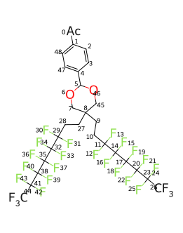 CC(=O)c1ccc(C2OCC(CCC(F)(F)C(F)(F)C(F)(F)C(F)(F)C(F)(F)C(F)(F)F)(CCC(F)(F)C(F)(F)C(F)(F)C(F)(F)C(F)(F)C(F)(F)F)CO2)cc1